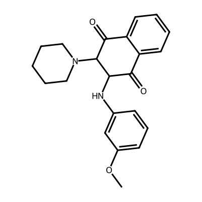 COc1cccc(NC2C(=O)c3ccccc3C(=O)C2N2CCCCC2)c1